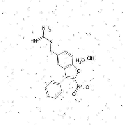 Cl.N=C(N)SCc1ccc2oc([N+](=O)[O-])c(-c3ccccc3)c2c1.O